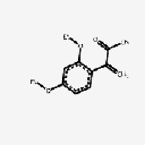 C=C(C(=O)C#N)c1ccc(OCC)cc1OCC